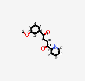 COc1cccc(C(=O)CCC(=O)c2ccccn2)c1